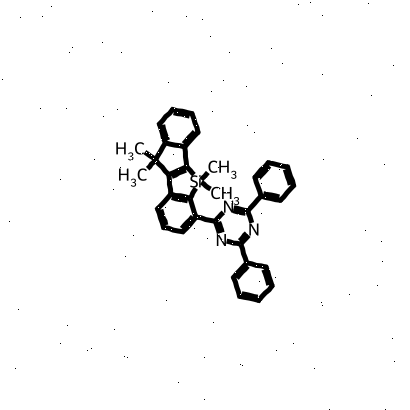 CC1(C)C2=C(c3ccccc31)[Si](C)(C)c1c2cccc1-c1nc(-c2ccccc2)nc(-c2ccccc2)n1